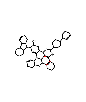 N#CC1C=C(C2NC(C3=CCCCC3)NC(C3CCC(C4C=CCCC4)CC3)N2)C(N2C3C=CCCC3OC3CCCCC32)=CC1N1C2CCC=CC2C2CCCCC21